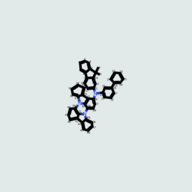 CC1(C)c2ccccc2-c2ccc(N(c3cccc(-c4ccccc4)c3)c3ccc4c5c3c3ccccc3n5c3cccc5c6ccccc6n4c53)cc21